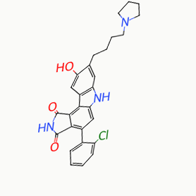 O=C1NC(=O)c2c1c(-c1ccccc1Cl)cc1[nH]c3cc(CCCCN4CCCC4)c(O)cc3c21